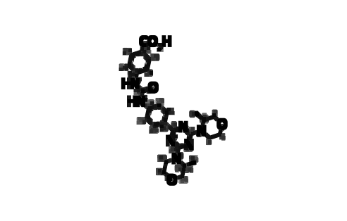 C[C@H]1COCCN1c1nc(-c2ccc(NC(=O)Nc3ccc(C(=O)O)cc3)cc2)nc(N2CCOC[C@@H]2C)n1